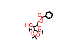 CC1(C)O[C@@H]2O[C@H](COC(=O)c3ccccc3)C(O)[C@@H]2O1